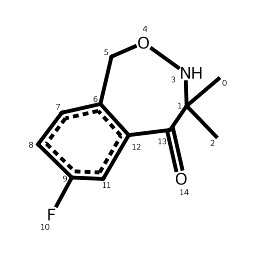 CC1(C)NOCc2ccc(F)cc2C1=O